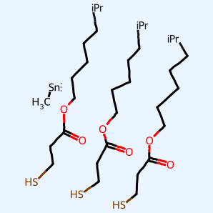 CC(C)CCCCCOC(=O)CCS.CC(C)CCCCCOC(=O)CCS.CC(C)CCCCCOC(=O)CCS.[CH3][Sn]